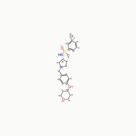 O=S(=O)(N[C@@H]1CCN(Cc2ccc(OC3CCOCC3)cc2)C1)c1cccc(C(F)(F)F)c1